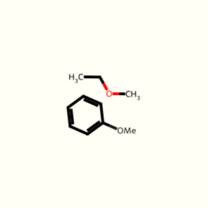 CCOC.COc1ccccc1